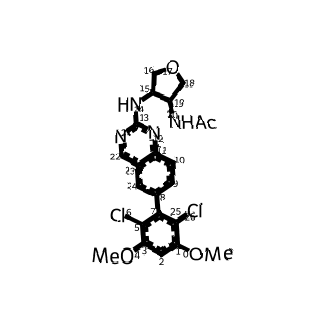 COc1cc(OC)c(Cl)c(-c2ccc3nc(NC4COCC4NC(C)=O)ncc3c2)c1Cl